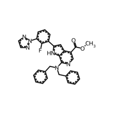 COC(=O)c1cnc(N(Cc2ccccc2)Cc2ccccc2)c2[nH]c(-c3cccc(-n4nccn4)c3F)cc12